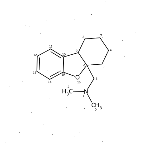 CN(C)CC12CCCCC1c1ccccc1O2